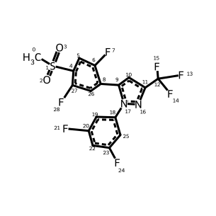 CS(=O)(=O)c1cc(F)c(-c2cc(C(F)(F)F)nn2-c2cc(F)cc(F)c2)cc1F